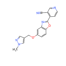 Cn1cc(COc2ccc3oc(-c4ccncc4C#N)nc3c2)cn1